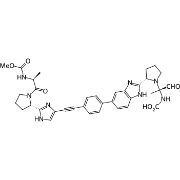 COC(=O)N[C@@H](C)C(=O)N1CCC[C@H]1c1nc(C#Cc2ccc(-c3ccc4[nH]c([C@@H]5CCCN5[C@](C)(C=O)NC(=O)O)nc4c3)cc2)c[nH]1